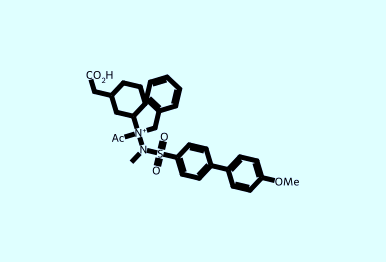 COc1ccc(-c2ccc(S(=O)(=O)N(C)[N+](Cc3ccccc3)(C(C)=O)C3CCCC(CC(=O)O)C3)cc2)cc1